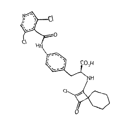 O=C(Nc1ccc(C[C@H](NC2=C(Cl)C(=O)C23CCCCC3)C(=O)O)cc1)c1c(Cl)cncc1Cl